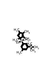 CC[Si](C)(c1cc(C)cc([Si](C)(C)C)c1)C1(C)[C]=C(C)C(C)=C1C